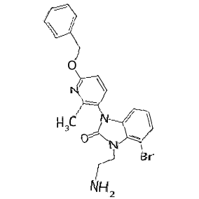 Cc1nc(OCc2ccccc2)ccc1-n1c(=O)n(CCN)c2c(Br)cccc21